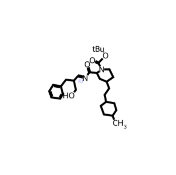 CC1CCC(CCC2CCN(C(=O)OC(C)(C)C)C(C(=O)/N=C/C(CO)Cc3ccccc3)C2)CC1